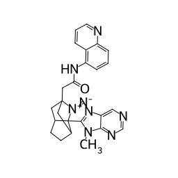 Cn1c(C23C4CCC2CC(CC(=O)Nc2cccc5ncccc25)(C4)[N+]3=[N-])nc2cncnc21